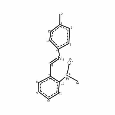 Cc1ccc(N=Cc2ccccc2[S+](C)[O-])cc1